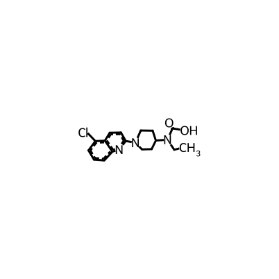 CCN(C(=O)O)C1CCN(c2ccc3c(Cl)cccc3n2)CC1